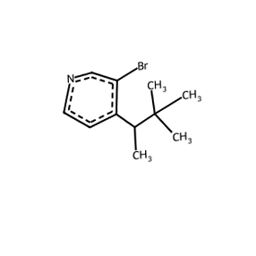 CC(c1ccncc1Br)C(C)(C)C